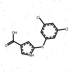 O=C(O)c1c[nH]c(Sc2cc(Cl)cc(Cl)c2)c1